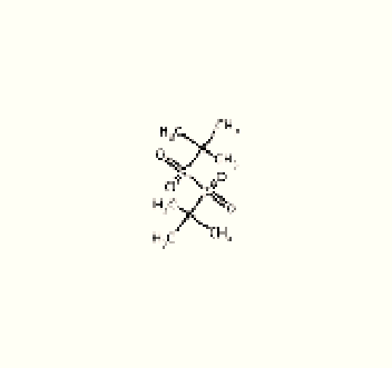 CC(C)(C)S(=O)(=O)S(=O)(=O)C(C)(C)C